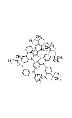 CC(C)(C)c1ccc(N2c3cc(N(c4ccccc4)c4ccccc4)cc4c3B(c3cc5c(cc3N4c3ccc4c(c3)C(C)(C)CCC4(C)C)C(C)(C)CCC5(C)C)c3c2sc2cc4c(cc32)C(C)(C)CCC4(C)C)c(-c2ccccc2)c1